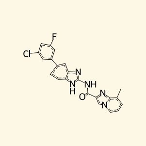 Cc1cccn2cc(C(=O)Nc3nc4cc(-c5cc(F)cc(Cl)c5)ccc4[nH]3)nc12